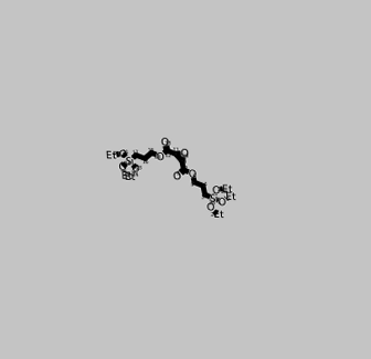 CCO[Si](CCCOC(=O)C1OC1C(=O)OCCC[Si](OCC)(OCC)OCC)(OCC)OCC